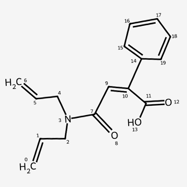 C=CCN(CC=C)C(=O)/C=C(\C(=O)O)c1ccccc1